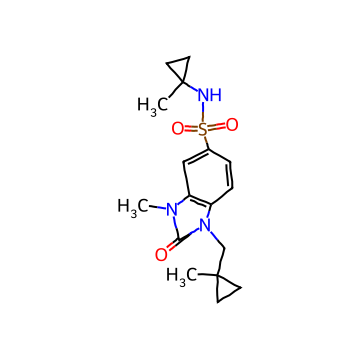 Cn1c(=O)n(CC2(C)CC2)c2ccc(S(=O)(=O)NC3(C)CC3)cc21